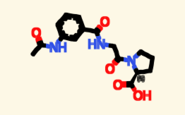 CC(=O)Nc1cccc(C(=O)NCC(=O)N2CCC[C@H]2C(=O)O)c1